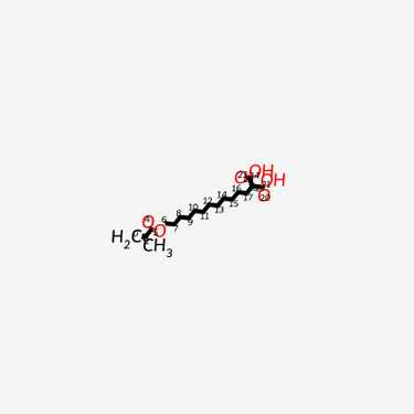 C=C(C)C(=O)OCCCCCCCCCCCCC(C(=O)O)C(=O)O